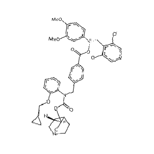 COc1ccc([C@H](Cc2c(Cl)cncc2Cl)OC(=O)c2ccc(CN(C(=O)O[C@H]3CN4CCC3CC4)c3ccccc3OCC3CC3)cc2)cc1OC